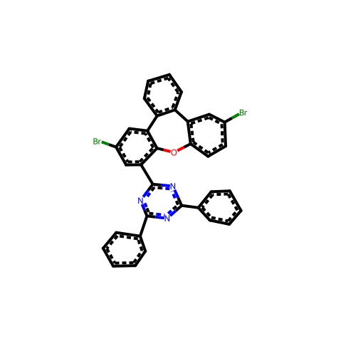 Brc1ccc2c(c1)-c1ccccc1-c1cc(Br)cc(-c3nc(-c4ccccc4)nc(-c4ccccc4)n3)c1O2